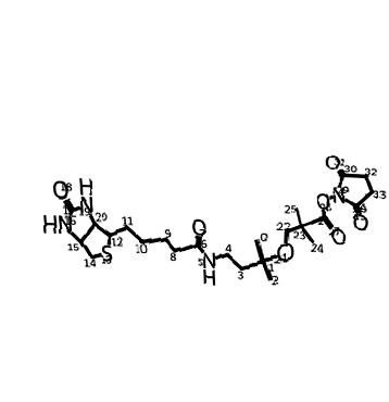 CC(C)(CCNC(=O)CCCCC1SCC2NC(=O)NC21)OCC(C)(C)C(=O)ON1C(=O)CCC1=O